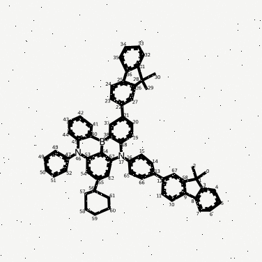 CC1(C)c2ccccc2-c2ccc(-c3ccc(N4c5ccc(-c6ccc7c(c6)C(C)(C)c6ccccc6-7)cc5B5c6ccccc6N(c6ccccc6)c6cc(C7CCCCC7)cc4c65)cc3)cc21